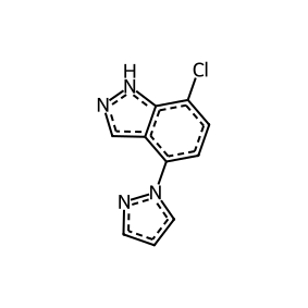 Clc1ccc(-n2cccn2)c2cn[nH]c12